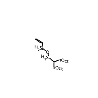 C=C[SiH2]O[SiH2]C(CCCCCCCC)CCCCCCCC